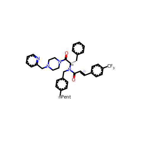 CCCCCc1ccc(CN(C(=O)/C=C/c2ccc(C(F)(F)F)cc2)[C@@H](Cc2ccccc2)C(=O)N2CCN(Cc3ccccn3)CC2)cc1